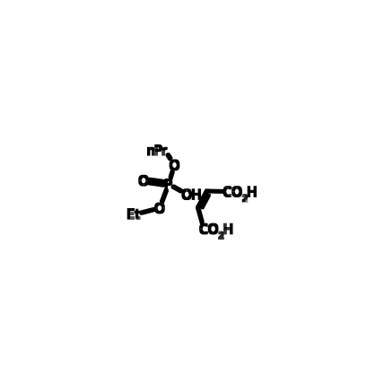 CCCOP(=O)(O)OCC.O=C(O)/C=C\C(=O)O